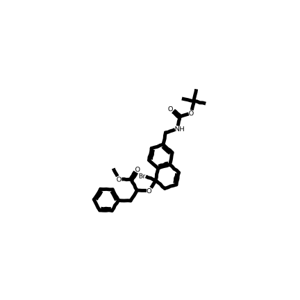 COC(=O)C(Cc1ccccc1)OC1(Br)CC=Cc2cc(CNC(=O)OC(C)(C)C)ccc21